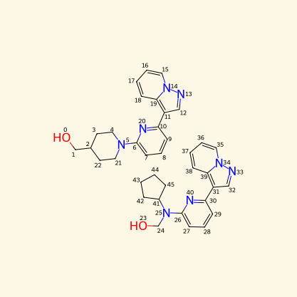 OCC1CCN(c2cccc(-c3cnn4ccccc34)n2)CC1.OCN(c1cccc(-c2cnn3ccccc23)n1)C1CCCC1